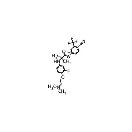 CN(C)CCOc1ccc(NC(C)(C)C(=O)Nc2ccc(C#N)c(C(F)(F)F)c2)cc1F